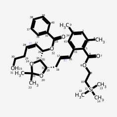 Cc1cc(C)c(C(=O)OCC[Si](C)(C)C)c(/C=C/C[C@@H]2OC(C)(C)O[C@@H]2C(/C=C\CCO)OC(=O)c2ccccc2)c1